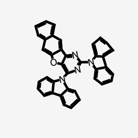 c1ccc2cc3c(cc2c1)oc1c(-n2c4ccccc4c4ccccc42)nc(-n2c4ccccc4c4ccccc42)nc13